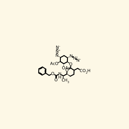 CC(=O)O[C@@H]1[C@@H](OC(C)=O)[C@H](N=[N+]=[N-])C[C@H](N=[N+]=[N-])[C@H]1OC1O[C@H]([C@@H](C)NC(=O)OCc2ccccc2)CCC1CC(=O)O